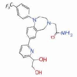 NC(=O)CN1CCN(c2ccc(C(F)(F)F)cc2)c2ccc(-c3cccc(C(O)CO)n3)cc2C1